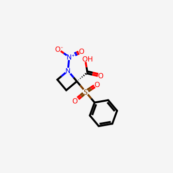 O=C(O)[C@]1(S(=O)(=O)c2ccccc2)CCN1[N+](=O)[O-]